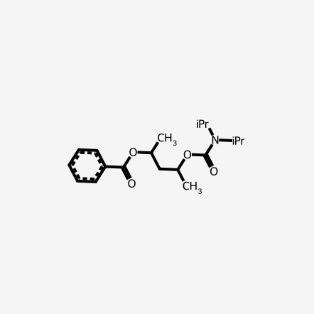 CC(CC(C)OC(=O)N(C(C)C)C(C)C)OC(=O)c1ccccc1